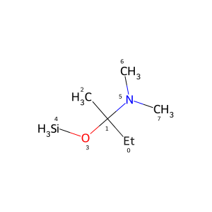 CCC(C)(O[SiH3])N(C)C